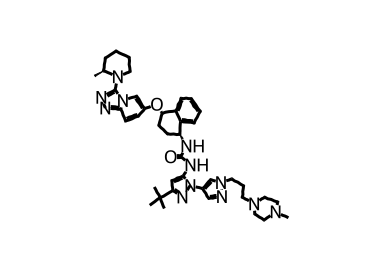 C[C@H]1CCCCN1c1nnc2ccc(O[C@@H]3CC[C@H](NC(=O)Nc4cc(C(C)(C)C)nn4-c4cnn(CCCN5CCN(C)CC5)c4)c4ccccc43)cn12